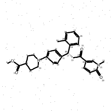 COC(=O)C1CCN(c2ccc([C@@H](CC(=O)c3ccc(=O)n(C)c3)c3ccccc3C)cc2)CC1